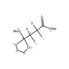 COC(=O)C(F)(F)C(F)(F)C1(OC)OCCO1